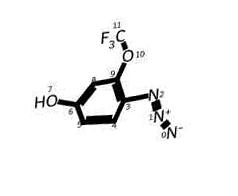 [N-]=[N+]=Nc1ccc(O)cc1OC(F)(F)F